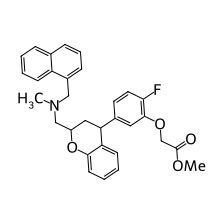 COC(=O)COc1cc(C2CC(CN(C)Cc3cccc4ccccc34)Oc3ccccc32)ccc1F